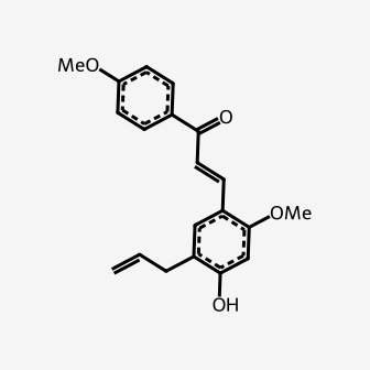 C=CCc1cc(/C=C/C(=O)c2ccc(OC)cc2)c(OC)cc1O